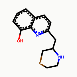 Oc1cccc2ccc(CC3CSCCN3)nc12